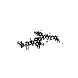 COc1ccc(CC(=O)Nc2cc3cc(-c4cc(Cl)c5[nH]ncc5c4)c(-c4cccc(-c5n[nH]c6c(Cl)cc(-c7cc8cc(NC(=O)Oc9ccc(OC)nc9)c(=O)[nH]c8nc7-c7ccccc7)cc56)c4)nc3[nH]c2=O)cc1